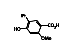 COc1cc(O)c(C(C)C)cc1C(=O)O